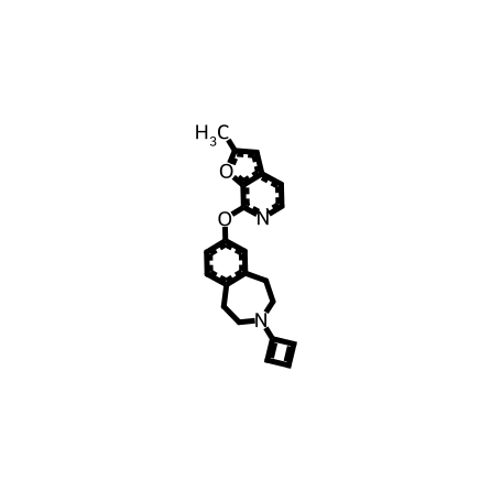 Cc1cc2ccnc(Oc3ccc4c(c3)CCN(C3=CC=C3)CC4)c2o1